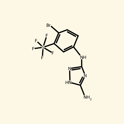 Nc1nc(Nc2ccc(Br)c(S(F)(F)(F)(F)F)c2)n[nH]1